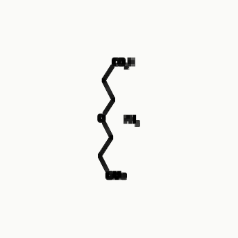 COCCOCCC(=O)O.P